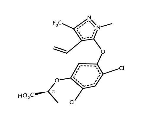 C=Cc1c(C(F)(F)F)nn(C)c1Oc1cc(O[C@@H](C)C(=O)O)c(Cl)cc1Cl